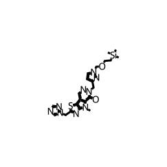 Cn1c2nc(Cn3cncn3)sc2c2cnn(Cc3ccn(COCC[Si](C)(C)C)n3)c(=O)c21